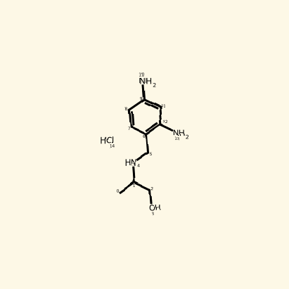 CC(CO)NCc1ccc(N)cc1N.Cl